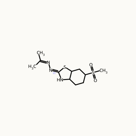 CC(C)=N/N=C1/NC2CCC(S(C)(=O)=O)CC2S1